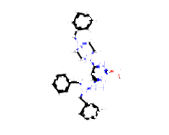 COc1nc(NN(Cc2ccccc2)Cc2ccccc2)cc(N2CCN(Cc3ccccc3)CC2)n1